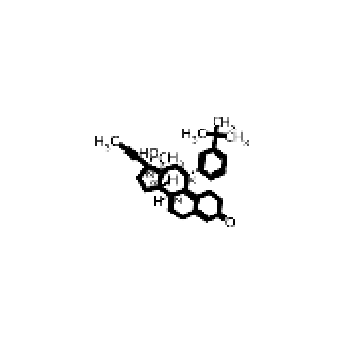 CC#C[C@]1(O)CC[C@H]2[C@@H]3CCC4=CC(=O)CCC4=C3[C@@H](c3cccc(C(C)(C)C)c3)C[C@@]21C